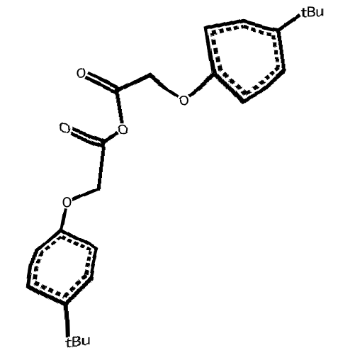 CC(C)(C)c1ccc(OCC(=O)OC(=O)COc2ccc(C(C)(C)C)cc2)cc1